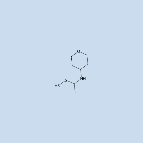 CC(NC1CCOCC1)SS